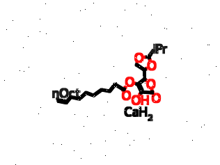 CCCCCCCC/C=C\CCCCCCCC(=O)OC1=C(O)C(=O)OC1C1COC(C(C)C)O1.[CaH2]